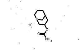 Cl.NC(=O)OC1CC2CCCN(C2)C1